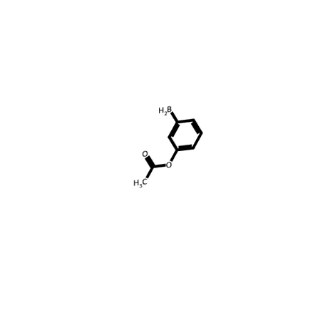 Bc1cccc(OC(C)=O)c1